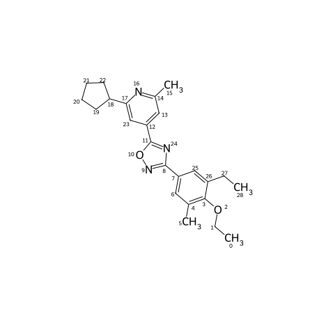 CCOc1c(C)cc(-c2noc(-c3cc(C)nc(C4CCCC4)c3)n2)cc1CC